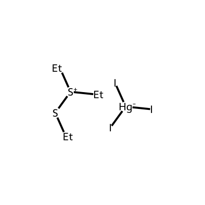 CCS[S+](CC)CC.[I][Hg-]([I])[I]